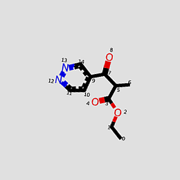 CCOC(=O)C(C)C(=O)c1ccnnc1